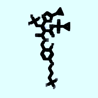 O=C(NCc1ccc(OCCCC(F)(F)F)cc1F)/C(C(=O)NS(=O)(=O)C1CC1)=C(\CC(F)(F)F)c1ncc(C2CC2)s1